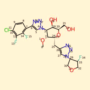 CO[C@@H]1[C@@H](n2cc(-c3ccc(Cl)c(F)c3F)nn2)[C@@H](O)[C@@H](CO)O[C@@H]1Cc1cn([C@H]2COC[C@@H]2F)nn1